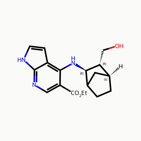 CCOC(=O)c1cnc2[nH]ccc2c1N[C@@H]1C2CC[C@@H](C2)[C@H]1CO